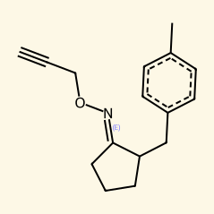 C#CCO/N=C1\CCCC1Cc1ccc(C)cc1